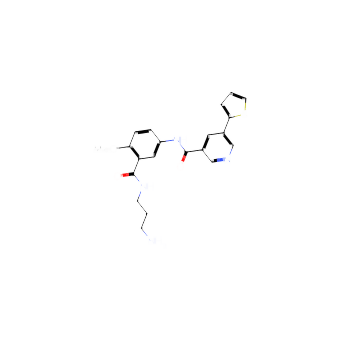 COc1ccc(NC(=O)c2cncc(-c3cccs3)c2)cc1C(=O)NCCCN